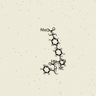 COC(=O)C(C)(C)c1ccc(-c2ccc(-n3ncc(C#N)c3NC(=O)OC(C)c3ccccc3)cc2)cc1